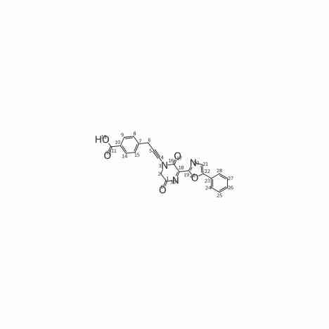 O=C1CN(C#CCc2ccc(C(=O)O)cc2)C(=O)C(c2ncc(-c3ccccc3)o2)=N1